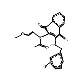 COCCN(C(C)=O)C1=C(NCc2ccc[n+]([O-])c2)C(=O)c2ccccc2C1=O